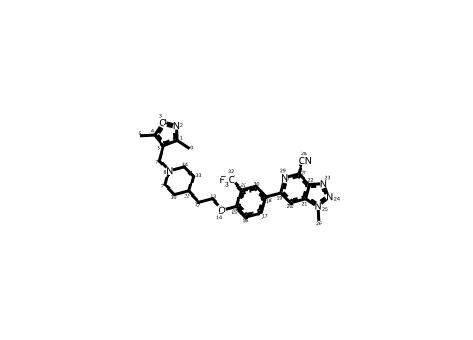 Cc1noc(C)c1CN1CCC(CCOc2ccc(-c3cc4c(nnn4C)c(C#N)n3)cc2C(F)(F)F)CC1